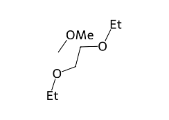 CCOCCOCC.COC